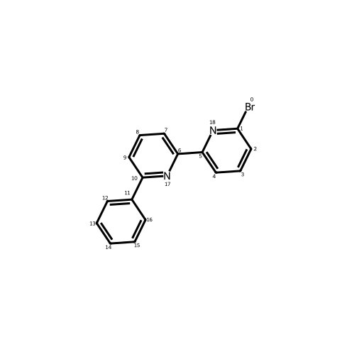 Brc1cccc(-c2cccc(-c3ccccc3)n2)n1